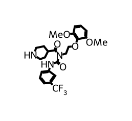 COc1cccc(OC)c1OCCN(C(=O)Nc1cccc(C(F)(F)F)c1)C(=O)C1CCNCC1